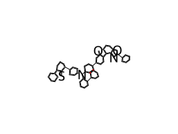 c1ccc(-c2nc3c(ccc4oc5cc(-c6ccc(N(c7ccc(-c8cccc9c8sc8ccccc89)cc7)c7ccccc7-c7ccccc7)cc6)ccc5c43)o2)cc1